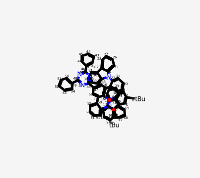 CC(C)(C)c1ccc2c(c1)c1cc(C(C)(C)C)ccc1n2-c1c(-c2ccccc2-n2c3ccccc3c3ccccc32)cc(-c2nc(-c3ccccc3)nc(-c3ccccc3)n2)cc1-c1ccccc1-n1c2ccccc2c2ccccc21